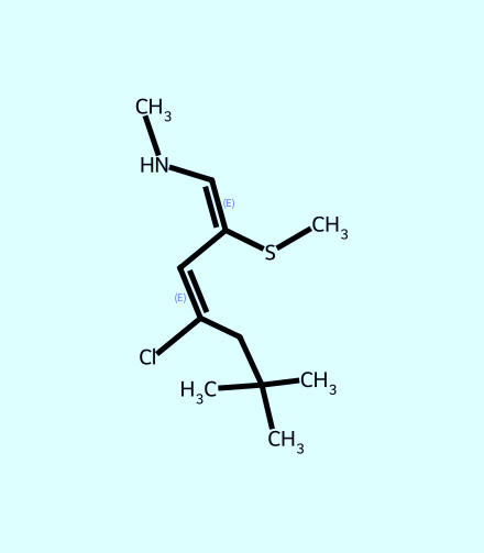 CN/C=C(\C=C(\Cl)CC(C)(C)C)SC